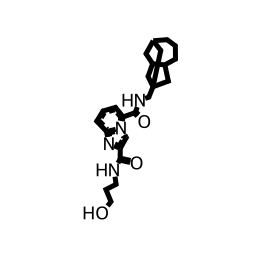 O=C(NCCCO)c1cn2c(C(=O)NCC34CC5CCCC(C3)C(C5)C4)cccc2n1